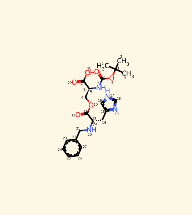 CC(C)(C)OC(=O)N[C@@H](COC(=O)[C@H](Cc1c[nH]cn1)NCc1ccccc1)C(=O)O